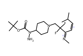 C/N=C(\C=C/C(C)C)C(F)(F)CN1CCC(N(N)C(=O)OC(C)(C)C)CC1